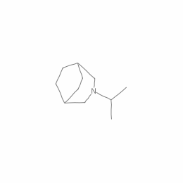 CC(C)N1CC2CCC(CC2)C1